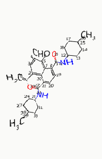 C=Cc1ccc(C=O)c2c(C(=O)NC3CCC(C)CC3)ccc(C(=O)NC3CCC(C)CC3)c12